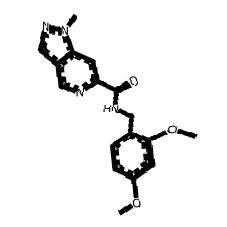 COc1ccc(CNC(=O)c2cc3c(cn2)cnn3C)c(OC)c1